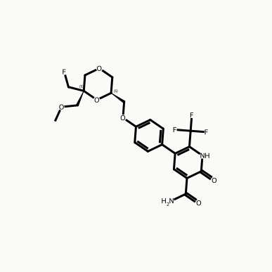 COC[C@@]1(CF)COC[C@@H](COc2ccc(-c3cc(C(N)=O)c(=O)[nH]c3C(F)(F)F)cc2)O1